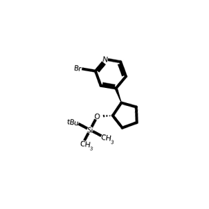 CC(C)(C)[Si](C)(C)O[C@H]1CCC[C@@H]1c1ccnc(Br)c1